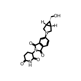 O=C1CCC(N2C(=O)c3ccc(N4C[C@@H]5[C@H](CO)[C@@H]5C4)cc3C2=O)C(=O)N1